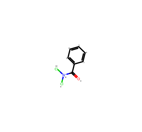 O=C(c1ccccc1)[N+](Cl)Cl